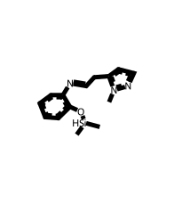 Cn1nccc1CC=Nc1ccccc1O[SiH](C)C